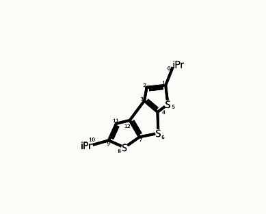 CC(C)c1cc2c(s1)sc1sc(C(C)C)cc12